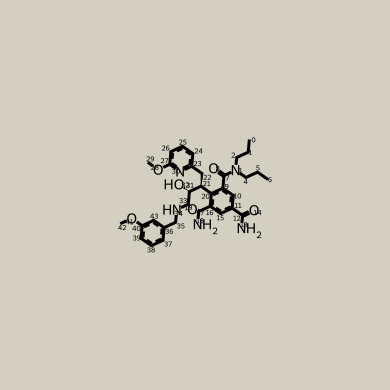 CCCN(CCC)C(=O)c1cc(C(N)=O)cc(C(N)=O)c1[C@H](Cc1cccc(OC)n1)[C@@H](O)CNCc1cccc(OC)c1